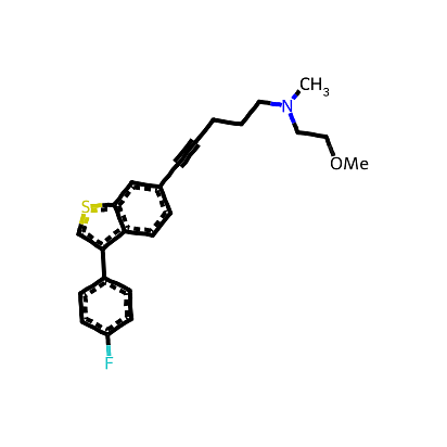 COCCN(C)CCCC#Cc1ccc2c(-c3ccc(F)cc3)csc2c1